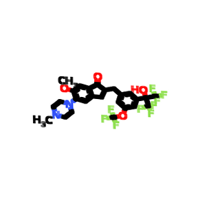 COc1cc2c(cc1N1CCN(C)CC1)CC(Cc1cc(OC(F)(F)F)cc(C(O)(C(F)(F)F)C(F)(F)F)c1)C2=O